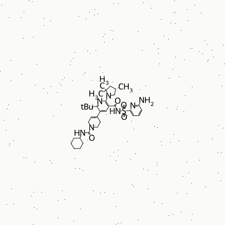 C[C@@H]1CN(c2nc(C(C)(C)C)c(C3=CCN(C(=O)NC4CCCCC4)CC3)cc2C(=O)NS(=O)(=O)c2cccc(N)n2)C(C)(C)C1